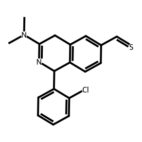 CN(C)C1=NC(c2ccccc2Cl)c2ccc(C=S)cc2C1